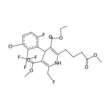 CCOC(=O)C1=C(CCCC(=O)OC)NC(CF)=C(C(=O)OC)C1c1c(F)ccc(Cl)c1C(F)(F)F